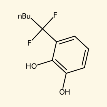 CCCCC(F)(F)c1cccc(O)c1O